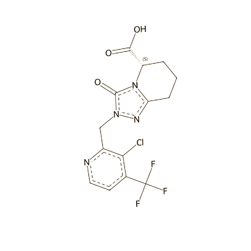 O=C(O)[C@@H]1CCCc2nn(Cc3nccc(C(F)(F)F)c3Cl)c(=O)n21